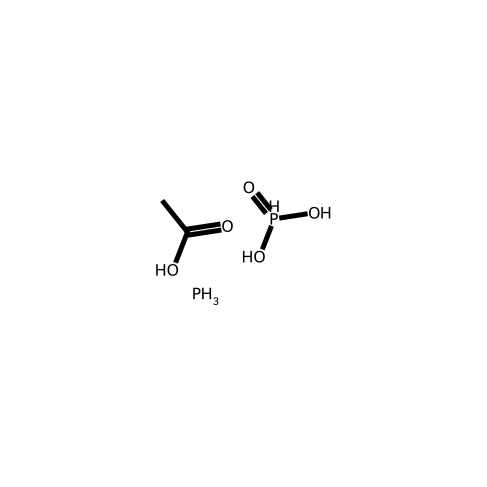 CC(=O)O.O=[PH](O)O.P